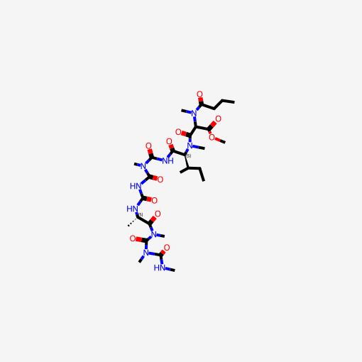 CCCC(=O)N(C)C(C(=O)OC)C(=O)N(C)[C@H](C(=O)NC(=O)N(C)C(=O)NC(=O)N[C@@H](C)C(=O)N(C)C(=O)N(C)C(=O)NC)C(C)CC